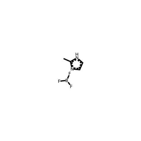 Cc1ncc[nH]1.FB(F)F